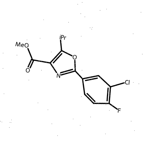 COC(=O)c1nc(-c2ccc(F)c(Cl)c2)oc1C(C)C